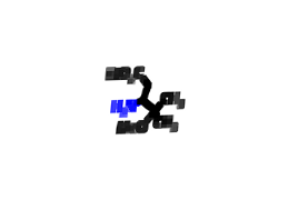 CCOC(=O)CC(N)C(C)(C)OC